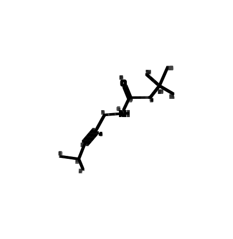 CC(C)C#CCNC(=O)CC(C)(C)C